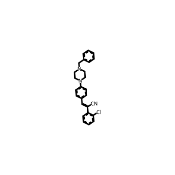 N#C/C(=C\c1ccc(N2CCN(Cc3ccccc3)CC2)cc1)c1ccccc1Cl